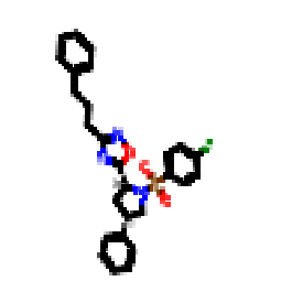 O=S(=O)(c1ccc(F)cc1)N1C[C@H](c2ccccc2)C[C@H]1c1nc(CCCc2ccccc2)no1